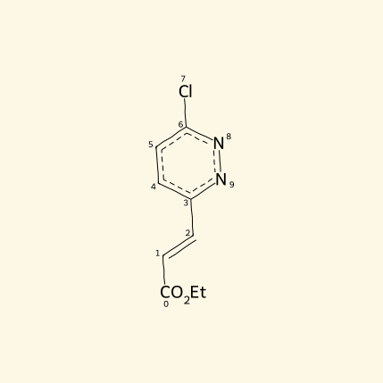 CCOC(=O)C=Cc1ccc(Cl)nn1